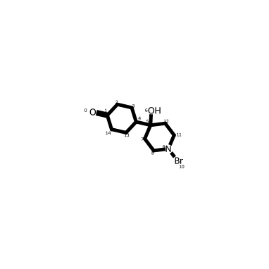 O=C1CCC(C2(O)CCN(Br)CC2)CC1